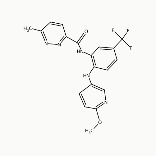 COc1ccc(Nc2ccc(C(F)(F)F)cc2NC(=O)c2ccc(C)nn2)cn1